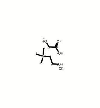 C[N+](C)(C)CCO.O=C(O)CO.[Cl-]